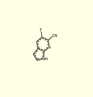 N#Cc1nc2[nH]ccc2cc1F